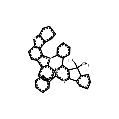 CC1(C)c2ccccc2-c2nc(-c3ccccc3)nc(-c3ccccc3-n3c4ccccc4c4ccc5oc6ccccc6c5c43)c21